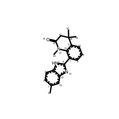 Cc1ccc2[nH]c(-c3cccc4c3N(C)C(=O)CC4(C)C)nc2c1